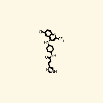 O=C(/C=C/c1c[nH]cn1)NC1CCC(Nc2cc(C(F)(F)F)nc3ccc(Cl)cc23)CC1